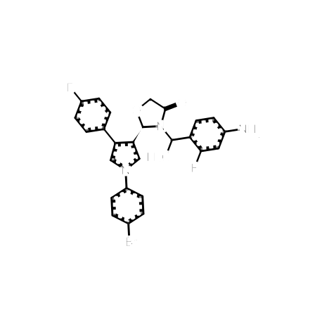 CC(c1ccc(N)cc1F)N1C(=O)CO[C@@H]1c1cn(-c2ccc(Br)cc2)cc1-c1ccc(F)cc1